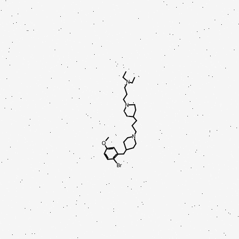 CCN(CC)CCCN1CCC(CCCN2CCC(Cc3cc(OC)ccc3Br)CC2)CC1